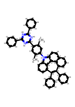 Cc1cc(-n2c3cccc4c3c3c5c(cccc5ccc32)C(c2ccccc2)=C4c2ccccc2)c(C)cc1-c1nc(-c2ccccc2)nc(-c2ccccc2)n1